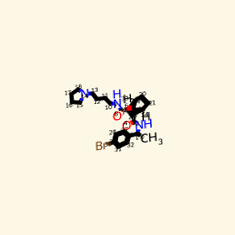 CC(NC(=O)[C@H]1[C@H](C(=O)NCCCCN2CCCC2)[C@H]2C=C[C@@H]1C21CC1)c1ccc(Br)cc1